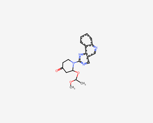 COC(C)OC1CC(=O)CCN1c1ncc2cnc3ccccc3c2n1